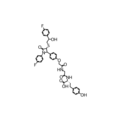 O=C(COc1ccc(C2C(SCC(O)c3ccc(F)cc3)C(=O)N2c2ccc(F)cc2)cc1)NCC(=O)N[C@H](CCc1ccc(O)cc1)C(=O)O